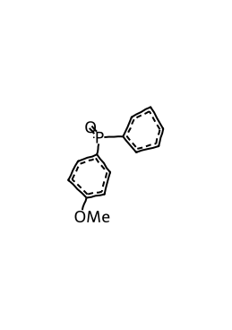 COc1ccc([P](=O)c2ccccc2)cc1